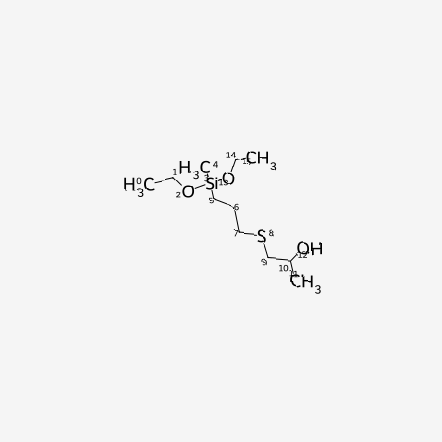 CCO[Si](C)(CCCSCC(C)O)OCC